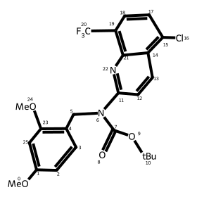 COc1ccc(CN(C(=O)OC(C)(C)C)c2ccc3c(Cl)ccc(C(F)(F)F)c3n2)c(OC)c1